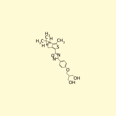 Cc1sc(-c2nc(-c3ccc(OCC(CO)CO)cc3)no2)c2c1[C@H]1[C@@H](C2)C1(C)C